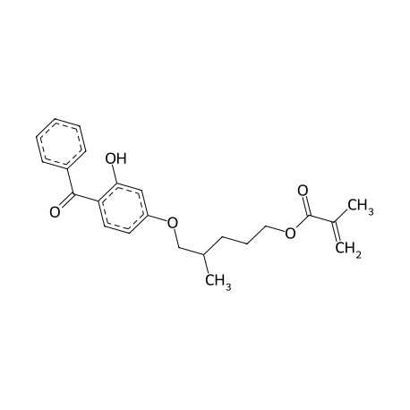 C=C(C)C(=O)OCCCC(C)COc1ccc(C(=O)c2ccccc2)c(O)c1